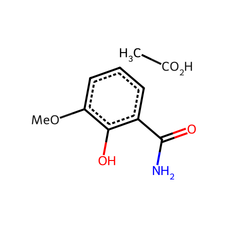 CC(=O)O.COc1cccc(C(N)=O)c1O